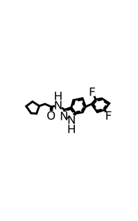 O=C(CC1CCCC1)Nc1n[nH]c2cc(-c3cc(F)ccc3F)ccc12